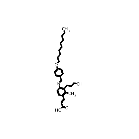 CCCCCCCCCCOc1ccc(C=Nc2ccc(C=CC(=O)O)c(C)c2CCCC)cc1